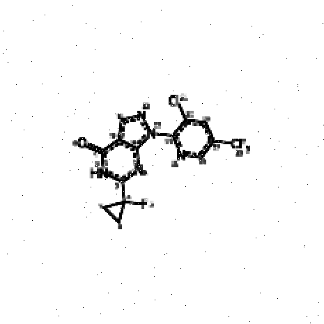 O=c1[nH]c(C2(F)CC2)nc2c1cnn2-c1ncc(C(F)(F)F)cc1Cl